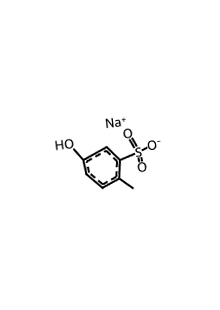 Cc1ccc(O)cc1S(=O)(=O)[O-].[Na+]